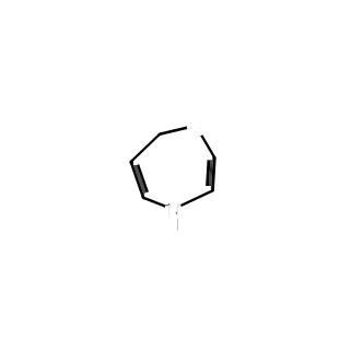 [C]1=COCC=CN1